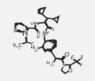 CC(C(=O)N1CCOC1C(F)(F)F)c1ccc(NC(=O)C(NC(=O)c2ccnn2C(C)C)C(C2CC2)C2CC2)c(F)c1